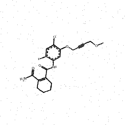 COCC#CCOc1cc(NC(=O)C2=C(C(N)=O)CCCC2)c(F)cc1Cl